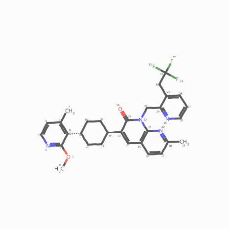 COc1nccc(C)c1[C@H]1CC[C@H](c2cc3ccc(C)nc3n(Cc3ncccc3CC(F)(F)F)c2=O)CC1